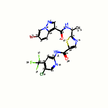 CC(NC(=O)c1cnn2cc(Br)ccc12)c1ncc(C(=O)Nc2cc(C(F)(F)F)c(Cl)cn2)s1